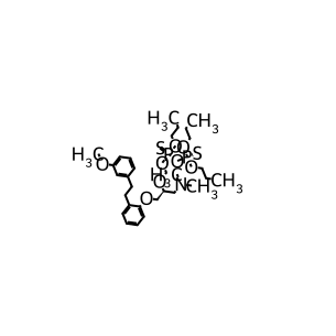 CCCOP(=S)(OCCC)OP(=S)(OCCC)OCO[C@H](COc1ccccc1CCc1cccc(OC)c1)CN(C)C